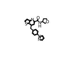 O=C(NC1CCOC1)c1cc(Cc2ccc(-n3cccn3)cc2)c2sccc2n1